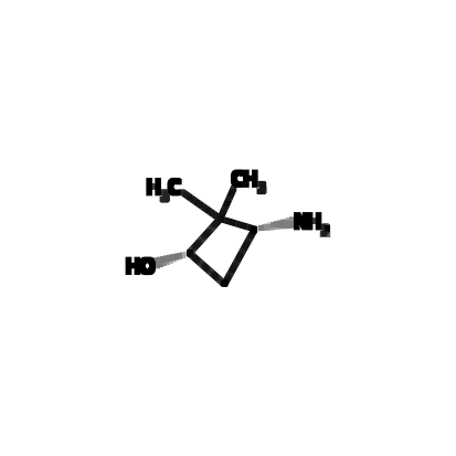 CC1(C)[C@H](N)C[C@@H]1O